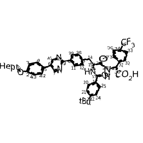 CCCCCCCOc1ccc(-c2cnc(-c3ccc(C[C@H](NC(=O)c4ccc(C(C)(C)C)cc4)C(=O)NC(C(=O)O)c4ccc(C(F)(F)F)cc4)cc3)nc2)cc1